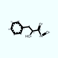 O=NC(=O)C(O)Cc1ccccc1